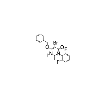 CC1N(I)C(OCc2ccccc2)=C(Br)C(=O)N1c1c(F)cccc1F